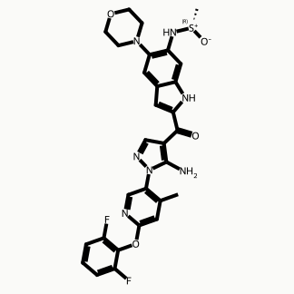 Cc1cc(Oc2c(F)cccc2F)ncc1-n1ncc(C(=O)c2cc3cc(N4CCOCC4)c(N[S@+](C)[O-])cc3[nH]2)c1N